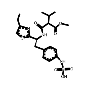 CCc1csc([C@H](Cc2ccc(NS(=O)(=O)O)cc2)NC(=O)C(C(=O)OC)C(C)C)n1